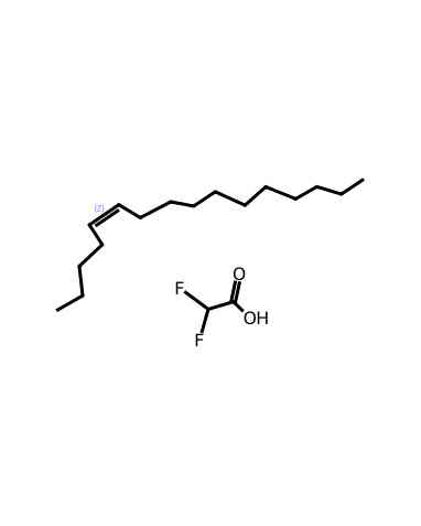 CCCC/C=C\CCCCCCCCCC.O=C(O)C(F)F